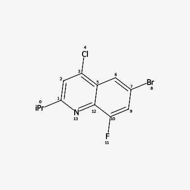 CC(C)c1cc(Cl)c2cc(Br)cc(F)c2n1